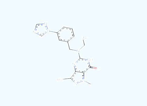 CCC(C)CN(Cc1cccc(-n2cncn2)c1)c1nc2c(C(C)(C)C)nn(C)c2c(=O)[nH]1